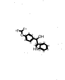 OC(c1ccc(OC(F)F)cc1)c1c[nH]c2ccccc12